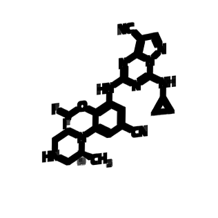 C[C@H]1CNCCN1c1cc(C#N)cc(Nc2nc(NC3CC3)n3ncc(C#N)c3n2)c1OC(F)F